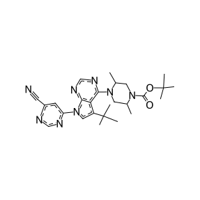 CC1CN(c2ncnc3c2c(C(C)(C)C)cn3-c2cc(C#N)ncn2)C(C)CN1C(=O)OC(C)(C)C